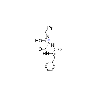 CC(C)C/N=C(\O)[C@@H]1NC(=O)[C@@H](Cc2ccccc2)NC1=O